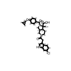 O=C(Cc1c[nH]c2cc(Cl)ccc12)N1CCC2C(C1)CN(C(=O)c1ccc(OC3CC3)cc1)C2(I)C(=O)O